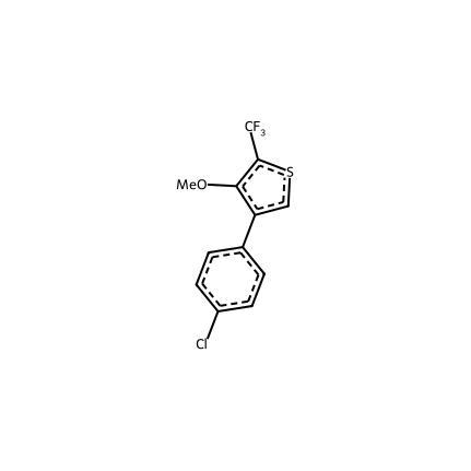 COc1c(-c2ccc(Cl)cc2)csc1C(F)(F)F